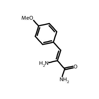 COc1ccc(C=C(N)C(N)=O)cc1